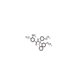 Cc1ccc(C(=O)NC(Cc2ccccc2)(c2cccc(OC(F)(F)F)c2)c2cccc(OC(F)(F)F)c2)cc1[N+](=O)[O-]